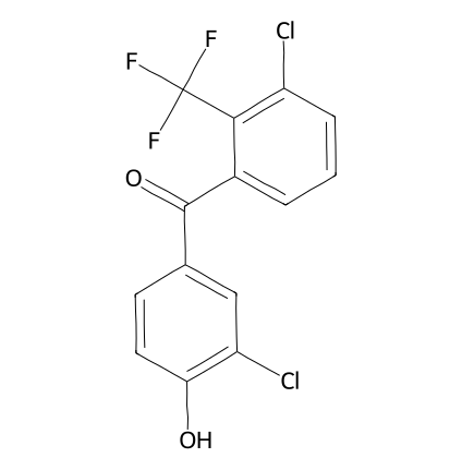 O=C(c1ccc(O)c(Cl)c1)c1cccc(Cl)c1C(F)(F)F